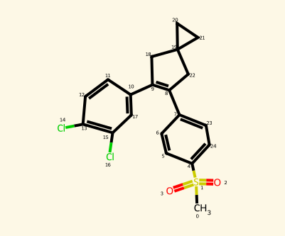 CS(=O)(=O)c1ccc(C2=C(c3ccc(Cl)c(Cl)c3)CC3(CC3)C2)cc1